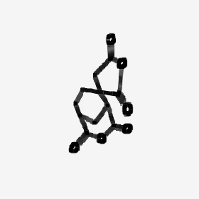 O=C1CC2(CCC3CC2C(=O)OC3=O)C(=O)O1